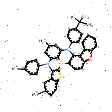 CCC(C)(C)c1ccc(N2c3cc(C)cc4c3B(c3ccc5oc6ccccc6c5c32)c2sc3ccc(C(C)(C)C)cc3c2N4c2ccc(C(C)(C)C)cc2)cc1